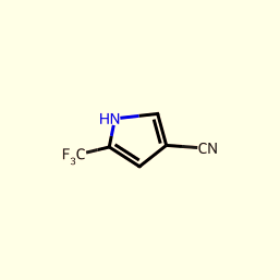 N#Cc1c[nH]c(C(F)(F)F)c1